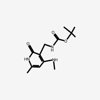 CNc1cc(C)[nH]c(=O)c1CNC(=O)OC(C)(C)C